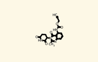 C#CCOC(=O)Nc1cccc2nc(C)n(C3CCC(=O)NC3=O)c(=O)c12